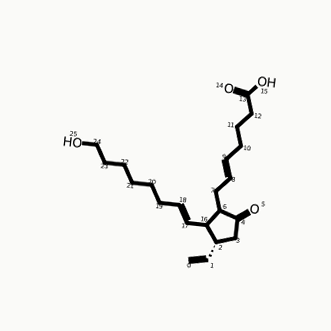 C=C[C@H]1CC(=O)C(CC=CCCCC(=O)O)C1C=CCCCCCCO